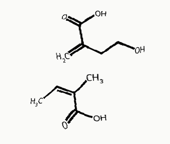 C=C(CCO)C(=O)O.CC=C(C)C(=O)O